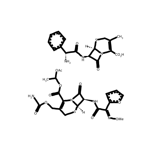 CC1=C(C(=O)O)N2C(=O)[C@@H](NC(=O)[C@H](N)c3ccccc3)[C@H]2SC1.CO/N=C(/C(=O)N[C@@H]1C(=O)N2C(C(=O)OC(C)OC(C)=O)=C(COC(N)=O)CS[C@H]12)c1ccco1